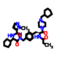 CCC(=O)N[C@H](Cc1ccc(CNC(=O)[C@@H](NC(=O)c2ccnn2C)C2CCCCC2)cc1)C(=O)N1CCN(CC2CCCCC2)CC1